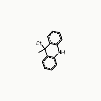 CCC1(C)c2ccccc2Nc2ccccc21